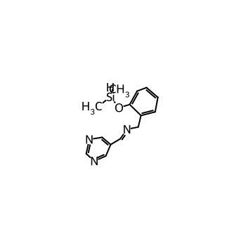 C[SiH](C)Oc1ccccc1CN=Cc1cncnc1